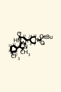 Cc1nn2c(C3CCN(C(=O)OC(C)(C)C)CC3)cc(=O)[nH]c2c1-c1cccc(C(F)(F)F)c1